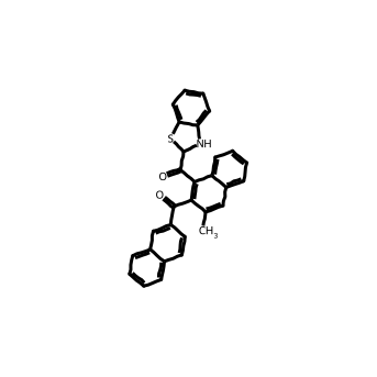 Cc1cc2ccccc2c(C(=O)C2Nc3ccccc3S2)c1C(=O)c1ccc2ccccc2c1